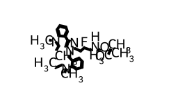 CCCN(C)c1ccccc1Cn1cc(-c2ccccc2N(C)CCC)nc1C[C@H](F)CNC(=O)OC(C)(C)C